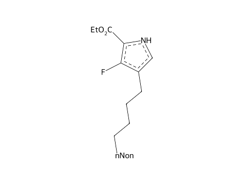 CCCCCCCCCCCCCc1c[nH]c(C(=O)OCC)c1F